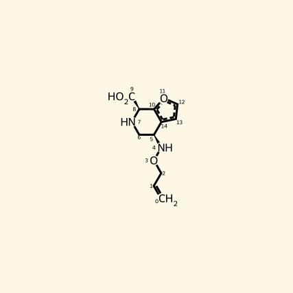 C=CCON[C@H]1CN[C@@H](C(=O)O)c2occc21